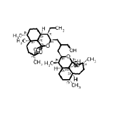 CC[C@H]1[C@@H](CC(CO)C[C@H]2O[C@@H]3O[C@]4(C)CC[C@H]5[C@H](C)CC[C@@H]([C@H]2C)[C@@]35OO4)O[C@@H]2O[C@]3(C)CC[C@@]4(C)[C@H](C)CC[C@@H]1[C@@]24OO3